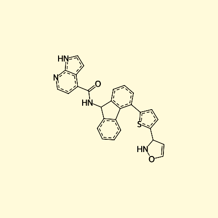 O=C(NC1c2ccccc2-c2c(-c3ccc(C4C=CON4)s3)cccc21)c1ccnc2[nH]ccc12